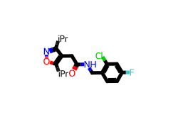 CC(C)c1noc(C(C)C)c1CC(=O)NCc1ccc(F)cc1Cl